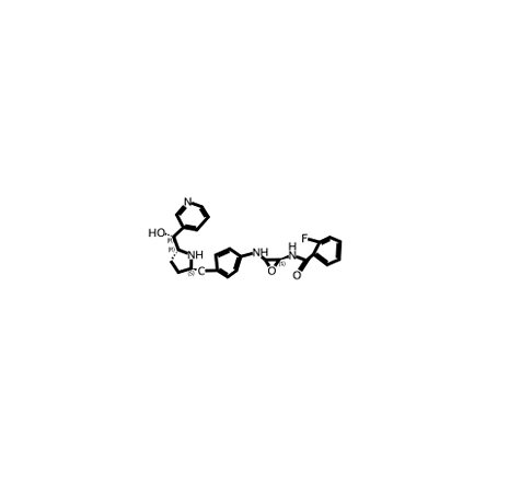 O=C(N[C@H]1OC1Nc1ccc(C[C@@H]2CC[C@H]([C@H](O)c3cccnc3)N2)cc1)c1ccccc1F